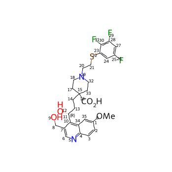 COc1ccc2ncc(CO)c([C@H](O)CCC3(C(=O)O)CCN(CCSc4cc(F)cc(F)c4F)CC3)c2c1